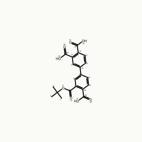 CC(C)(C)OC(=O)c1cc(-c2ccc(C(=O)O)c(C(=O)O)c2)ccc1C(=O)O